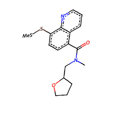 CSSc1ccc(C(=O)N(C)CC2CCCO2)c2cccnc12